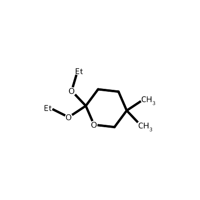 CCOC1(OCC)CCC(C)(C)CO1